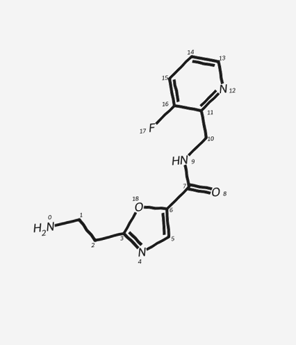 NCCc1ncc(C(=O)NCc2ncccc2F)o1